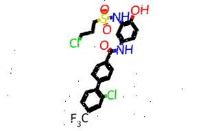 O=C(Nc1ccc(O)c(NS(=O)(=O)CCCCl)c1)c1ccc(-c2ccc(C(F)(F)F)cc2Cl)cc1